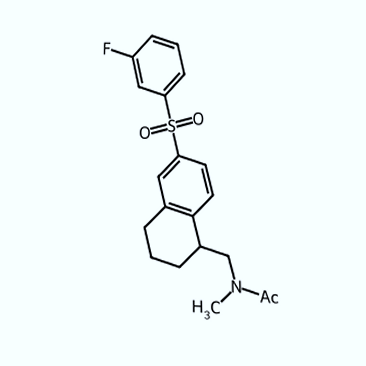 CC(=O)N(C)CC1CCCc2cc(S(=O)(=O)c3cccc(F)c3)ccc21